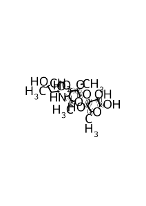 CO[C@H]1[C@H](O[C@@H]2[C@@H](O)[C@H](C)O[C@@H](O)[C@@H]2O)O[C@H](C)[C@@H](NC(=O)CC(C)(C)O)[C@@H]1O